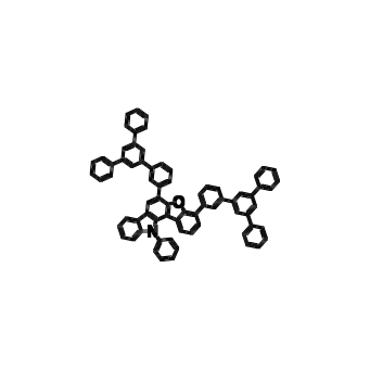 c1ccc(-c2cc(-c3ccccc3)cc(-c3cccc(-c4cccc5c4oc4c(-c6cccc(-c7cc(-c8ccccc8)cc(-c8ccccc8)c7)c6)cc6c7ccccc7n(-c7ccccc7)c6c45)c3)c2)cc1